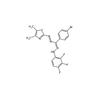 Cc1nc(N=NC(=NNc2ccc(F)c(F)c2F)c2ccc(Br)cc2)sc1C